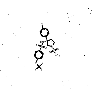 CS(=O)(=O)N1CC[C@](NS(=O)(=O)c2ccc(OC(F)(F)F)cc2)(c2ccc(Cl)cc2)C1